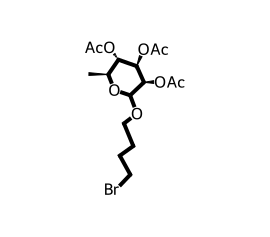 CC(=O)O[C@@H]1[C@@H](OC(C)=O)[C@@H](OC(C)=O)C(OCCCCBr)O[C@H]1C